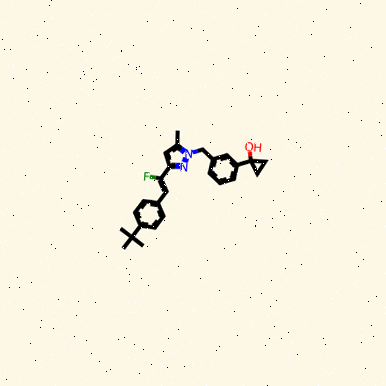 Cc1cc(/C(F)=C/c2ccc(C(C)(C)C)cc2)nn1Cc1cccc(C2(O)CC2)c1